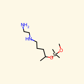 CO[Si](C)(C)OC(C)CCCNCCN